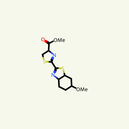 COC(=O)C1CSC(C2=NC3CCC(OC)CC3S2)=N1